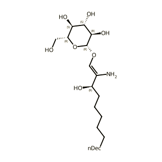 CCCCCCCCCCCCCCC[C@@H](O)C(N)=CO[C@@H]1O[C@H](CO)[C@@H](O)[C@H](O)[C@H]1O